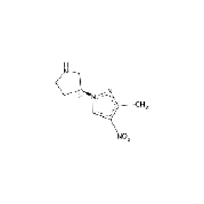 Cc1nn([C@H]2CCNC2)cc1[N+](=O)[O-]